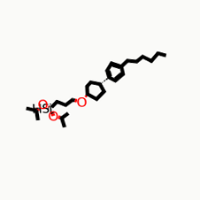 CCCCCCc1ccc([C@H]2CC[C@H](OCCC[SiH](OC(C)C)OC(C)C)CC2)cc1